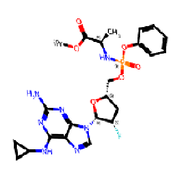 CC(C)OC(=O)[C@@H](C)N[P@@](=O)(OC[C@@H]1C[C@H](F)[C@H](n2cnc3c(NC4CC4)nc(N)nc32)O1)Oc1ccccc1